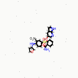 NC(=O)C1C=CC=CC1(Oc1cnc2[nH]ccc2c1)S(=O)(=O)c1ccc(N[C@@H]2CCOC2)c([N+](=O)[O-])c1